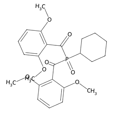 COc1cccc(OC)c1C(=O)P(=O)(C(=O)c1c(OC)cccc1OC)C1CCCCC1